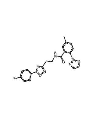 Cc1ccc(-n2nccn2)c(C(=O)NCCc2noc(-c3ccc(F)cn3)n2)c1